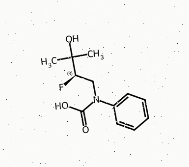 CC(C)(O)[C@H](F)CN(C(=O)O)c1ccccc1